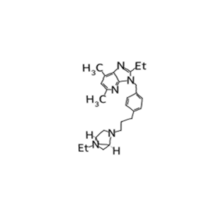 CCc1nc2c(C)cc(C)nc2n1Cc1ccc(CCCN2C[C@H]3C[C@@H]2CN3CC)cc1